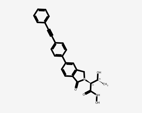 C[C@@H](O)[C@@H](C(=O)NO)N1Cc2cc(-c3ccc(C#Cc4ccccc4)cc3)ccc2C1=O